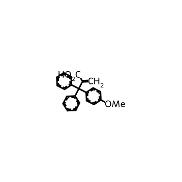 C=C(C(=O)O)C(c1ccccc1)(c1ccccc1)c1ccc(OC)cc1